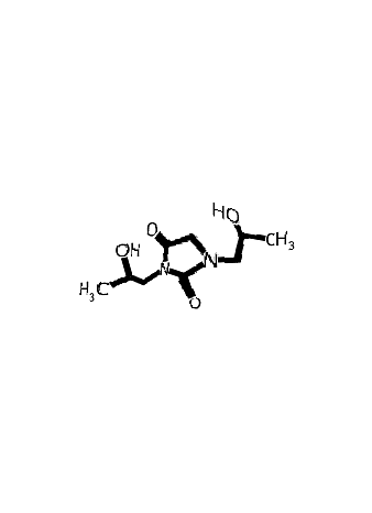 CC(O)CN1CC(=O)N(CC(C)O)C1=O